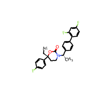 CC(=O)C[C@]1(c2ccc(F)cc2)CCN([C@@H](C)c2ccc(-c3ccc(F)cc3F)cc2)C(=O)O1